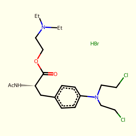 Br.CCN(CC)CCOC(=O)[C@H](Cc1ccc(N(CCCl)CCCl)cc1)NC(C)=O